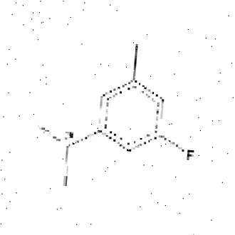 Cc1cc(F)cc([C@@H](C)I)c1